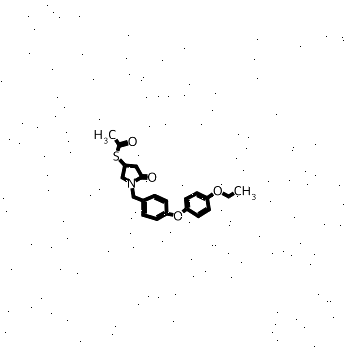 CCOc1ccc(Oc2ccc(CN3CC(SC(C)=O)CC3=O)cc2)cc1